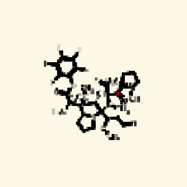 CC[C@H](C)[C@@]([C@@H](CC=O)OC)(N1CCC[C@H]1[C@H](OC)[C@@H](C)C(=O)Oc1c(F)c(F)c(F)c(F)c1F)N(C)[C@@](C(N)=O)(C(=O)[C@]1(C)CCCN1C)C(C)C